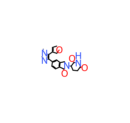 Cn1cnc(-c2ccc3c(c2)CN(C2CCC(=O)NC2=O)C3=O)c1C1=CCOC1